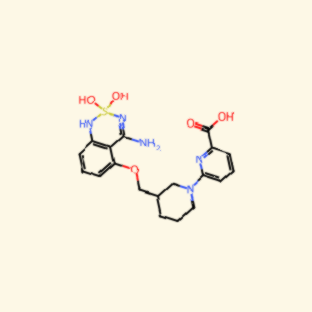 NC1=NS(O)(O)Nc2cccc(OCC3CCCN(c4cccc(C(=O)O)n4)C3)c21